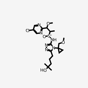 COCC1(n2c(CCCC(C)(C)O)nnc2N[S+]([O-])C(C)C(OC)c2ncc(Cl)cn2)CC1